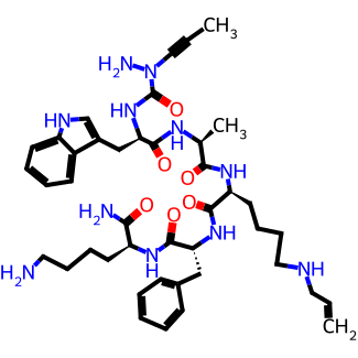 C=CCNCCCC[C@H](NC(=O)[C@H](C)NC(=O)[C@@H](Cc1c[nH]c2ccccc12)NC(=O)N(N)C#CC)C(=O)N[C@H](Cc1ccccc1)C(=O)N[C@@H](CCCCN)C(N)=O